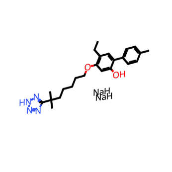 CCc1cc(-c2ccc(C)cc2)c(O)cc1OCCCCCC(C)(C)c1nn[nH]n1.[NaH].[NaH]